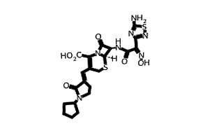 Nc1nc(/C(=N/O)C(=O)N[C@@H]2C(=O)N3C(C(=O)O)=C(/C=C4\CCN(C5CCCC5)C4=O)CS[C@H]23)ns1